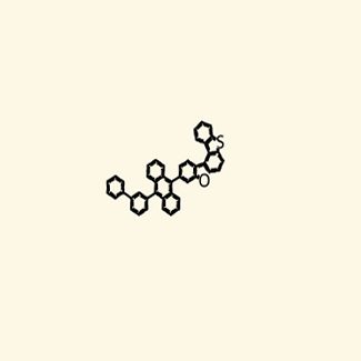 c1ccc(-c2cccc(-c3c4ccccc4c(-c4ccc5c(c4)oc4ccc6sc7ccccc7c6c45)c4ccccc34)c2)cc1